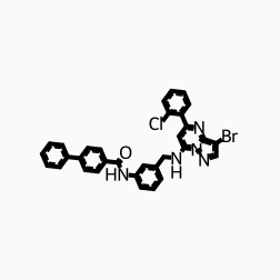 O=C(Nc1cccc(CNc2cc(-c3ccccc3Cl)nc3c(Br)cnn23)c1)c1ccc(-c2ccccc2)cc1